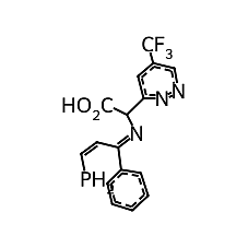 O=C(O)C(/N=C(\C=C/P)c1ccccc1)c1cc(C(F)(F)F)cnn1